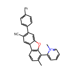 Cc1ccc2c(oc3cc(-c4ccc(C(C)C)cc4)c(C#N)cc32)c1-c1cccc[n+]1C